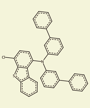 Clc1ccc(N(c2cccc(-c3ccccc3)c2)c2cccc(-c3ccccc3)c2)c2c1sc1ccccc12